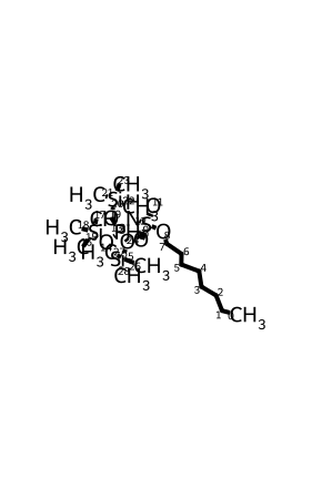 CCCCCCCCOS(=O)(=O)N[PH](O[Si](C)(C)C)(O[Si](C)(C)C)O[Si](C)(C)C